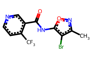 Cc1noc(NC(=O)c2cnccc2C(F)(F)F)c1Br